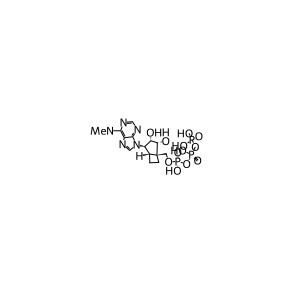 CNc1ncnc2c1ncn2[C@H]1[C@H](O)[C@H](O)[C@]2(COP(=O)(O)OP(=O)(O)OP(=O)(O)O)CC[C@H]12